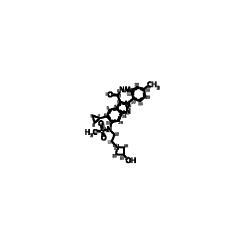 CNC(=O)c1c2cc(C3CC3)c(N(CCN3CC(O)C3)S(C)(=O)=O)cc2nn1-c1ccc(C)cc1